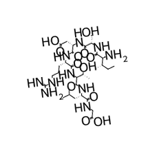 CC[C@H](C)[C@H](N)C(=O)N[C@@H](CO)C(=O)N[C@@H](CC(=O)O)C(=O)N[C@@H](CCCNC(=N)N)C(=O)N[C@H](C(=O)N[C@@H](CC(C)C)C(=O)NCC(=O)O)[C@@H](C)O